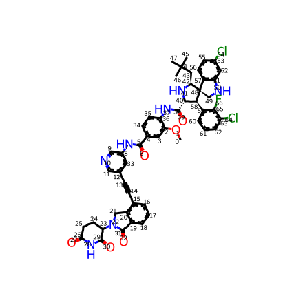 COc1cc(C(=O)Nc2cncc(C#Cc3cccc4c3CN(C3CCC(=O)NC3=O)C4=O)c2)ccc1NC(=O)[C@@H]1N[C@@H](CC(C)(C)C)[C@@]2(CNc3cc(Cl)ccc32)[C@H]1c1cccc(Cl)c1F